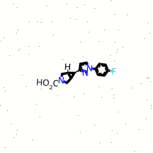 O=C(O)N1CC2[C@@H](C1)[C@H]2c1ccn(-c2ccc(F)cc2)n1